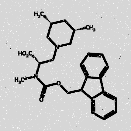 C[C@@H]1C[C@H](C)CN(C[C@@H](C(=O)O)N(C)C(=O)OCC2c3ccccc3-c3ccccc32)C1